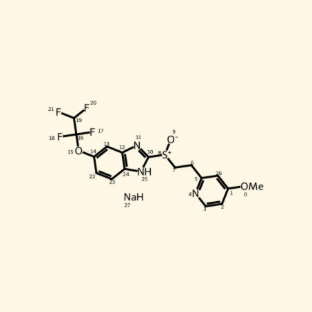 COc1ccnc(CC[S+]([O-])c2nc3cc(OC(F)(F)C(F)F)ccc3[nH]2)c1.[NaH]